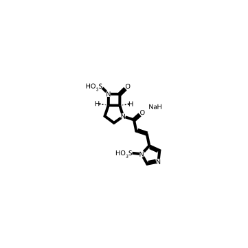 O=C(/C=C/c1cncn1S(=O)(=O)O)N1CC[C@@H]2[C@H]1C(=O)N2S(=O)(=O)O.[NaH]